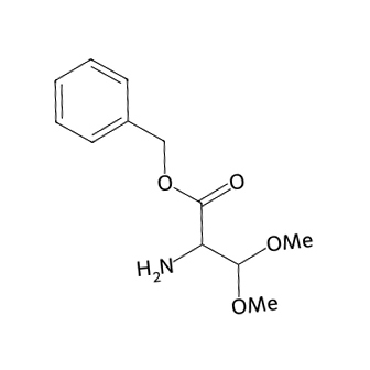 COC(OC)C(N)C(=O)OCc1ccccc1